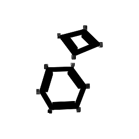 C1=CC=C1.c1ccccc1